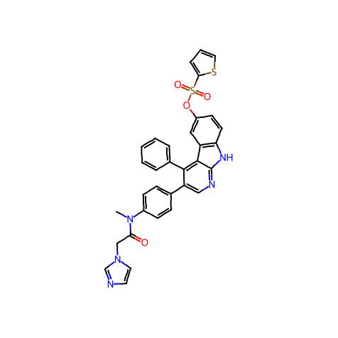 CN(C(=O)Cn1ccnc1)c1ccc(-c2cnc3[nH]c4ccc(OS(=O)(=O)c5cccs5)cc4c3c2-c2ccccc2)cc1